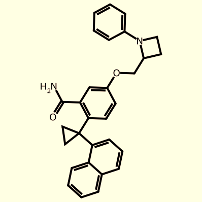 NC(=O)c1cc(OCC2CCN2c2ccccc2)ccc1C1(c2cccc3ccccc23)CC1